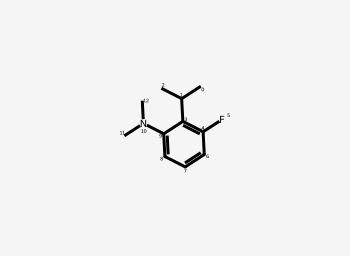 CC(C)c1c(F)cccc1N(C)C